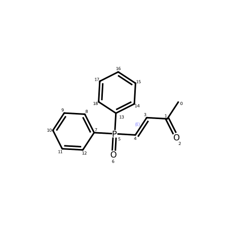 CC(=O)/C=C/P(=O)(c1ccccc1)c1ccccc1